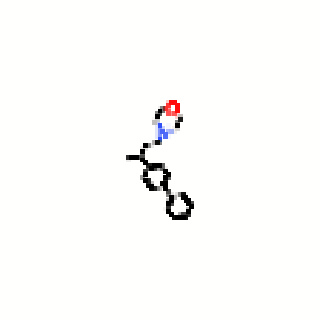 CC(CCN1CCOCC1)c1ccc(-c2ccccc2)cc1